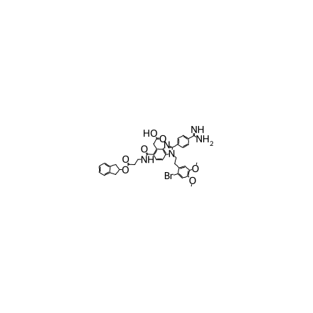 COc1cc(Br)c(CCn2c(-c3ccc(C(=N)N)cc3)nc3c(CC(=O)O)c(C(=O)NCCC(=O)OC4Cc5ccccc5C4)ccc32)cc1OC